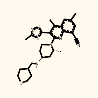 Cc1cc(C#N)c2nc(N3CC[C@@H](NCC4CCOCC4)C[C@H]3C)c(-c3nc(C)no3)c(C)c2c1